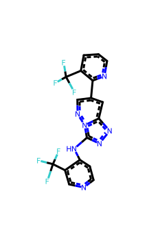 FC(F)(F)c1cnccc1Nc1nnc2cc(-c3ncccc3C(F)(F)F)cnn12